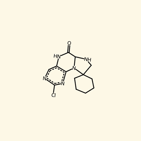 O=C1Nc2cnc(Cl)nc2N2C1NCC21CCCCC1